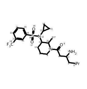 CC(C)CC(N)CC(=O)N1CCCC(N(C2CC2)S(=O)(=O)c2cccc(C(F)(F)F)c2)C1I